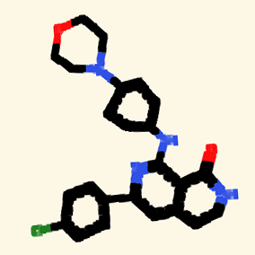 O=c1[nH]ccc2cc(-c3ccc(Cl)cc3)nc(Nc3ccc(N4CCOCC4)cc3)c12